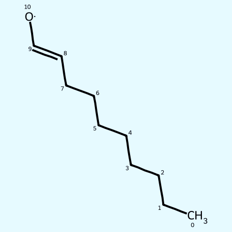 CCCCCCCCC=C[O]